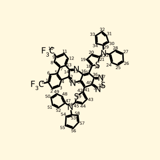 FC(F)(F)c1ccc2c(c1)c1cc(C(F)(F)F)ccc1c1nc3c(-c4ccc(N(c5ccccc5)c5ccccc5)s4)c4nsnc4c(-c4ccc(N(c5ccccc5)c5ccccc5)s4)c3nc21